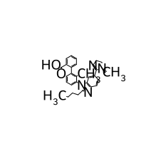 CCCCc1nc2ccc(C3=NCCN3C)cc2n1-c1cccc(-c2ccccc2C(=O)O)c1C